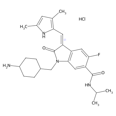 Cc1cc(C)c(/C=C2\C(=O)N(CC3CCC(N)CC3)c3cc(C(=O)NC(C)C)c(F)cc32)[nH]1.Cl